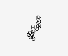 CCN(CC)CC(=O)Cc1cnc2ccc(CNC(=O)ON3C(=O)CCC3=O)cc2c1